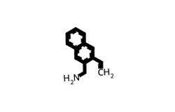 C=Cc1cc2ccccc2cc1CN